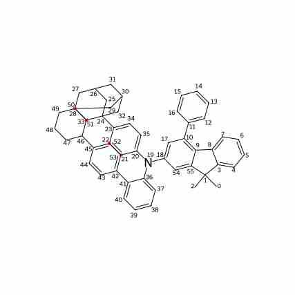 CC1(C)c2ccccc2-c2c(-c3ccccc3)cc(N(c3ccc(C45CC6CC(CC(C6)C4)C5)cc3)c3ccccc3-c3ccc(C4CCCCC4)cc3)cc21